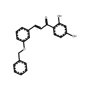 O=C(/C=C/c1cccc(OCc2ccccc2)c1)c1ccc(O)cc1O